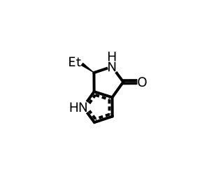 CC[C@H]1NC(=O)c2cc[nH]c21